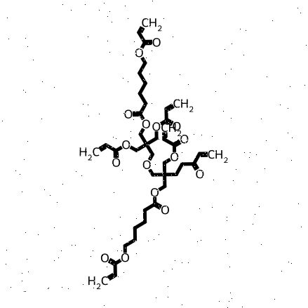 C=CC(=O)CCC(COCC(COC(=O)C=C)(COC(=O)C=C)COC(=O)CCCCCOC(=O)C=C)(COC(=O)C=C)COC(=O)CCCCCOC(=O)C=C